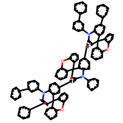 c1ccc(-c2cccc(N3c4cc(-c5ccccc5)ccc4C4(c5ccccc5Oc5ccccc54)c4cc(-c5ccc6c(c5)C5(c7ccccc7Oc7ccccc75)c5cc(-c7ccc8c(c7)C7(c9ccccc9Oc9ccccc97)c7ccc(-c9ccccc9)cc7N8c7cccc(-c8ccccc8)c7)ccc5N6c5ccccc5)ccc43)c2)cc1